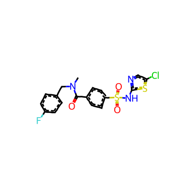 CN(Cc1ccc(F)cc1)C(=O)c1ccc(S(=O)(=O)Nc2ncc(Cl)s2)cc1